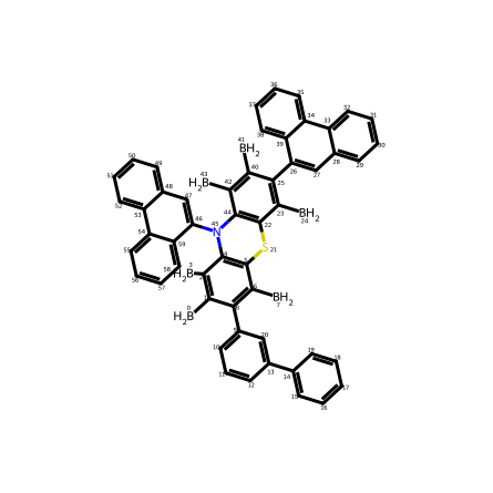 Bc1c(B)c2c(c(B)c1-c1cccc(-c3ccccc3)c1)Sc1c(B)c(-c3cc4ccccc4c4ccccc34)c(B)c(B)c1N2c1cc2ccccc2c2ccccc12